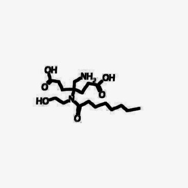 CCCCCCCC(=O)N(CCO)C(CN)(CCC(=O)O)CCC(=O)O